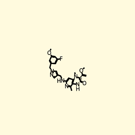 C=C(OC)[C@H]1C(=O)Nc2c(cc(NCc3cnn(Cc4cc(F)cc(OC)c4)c3)nc2C)N1C